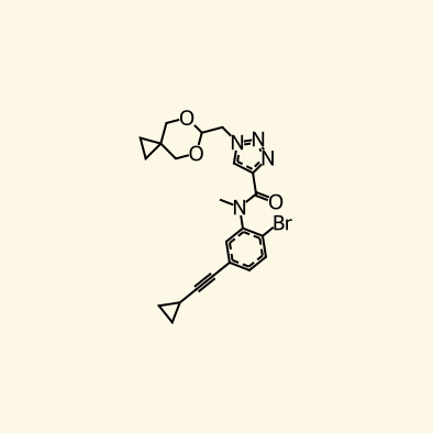 CN(C(=O)c1cn(CC2OCC3(CC3)CO2)nn1)c1cc(C#CC2CC2)ccc1Br